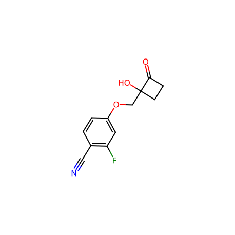 N#Cc1ccc(OCC2(O)CCC2=O)cc1F